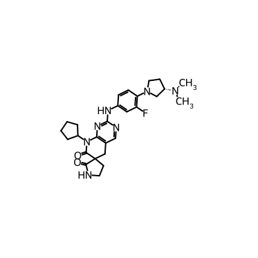 CN(C)[C@H]1CCN(c2ccc(Nc3ncc4c(n3)N(C3CCCC3)C(=O)C3(CCNC3=O)C4)cc2F)C1